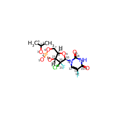 CC(C)O[P@]1(=O)OC[C@H]2O[C@@H](n3cc(F)c(=O)[nH]c3=O)[C@](F)(Cl)[C@@H]2O1